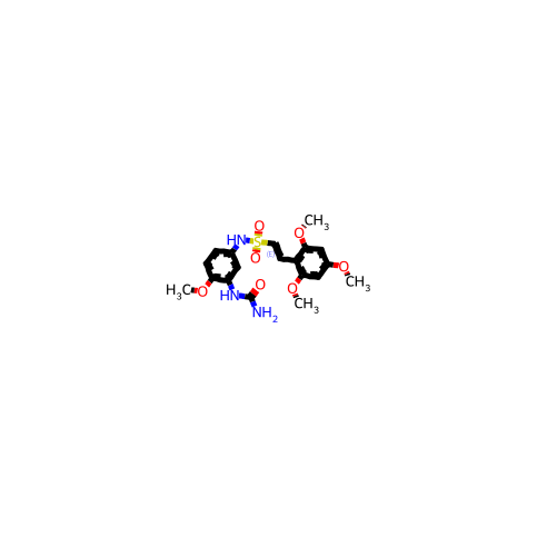 COc1cc(OC)c(/C=C/S(=O)(=O)Nc2ccc(OC)c(NC(N)=O)c2)c(OC)c1